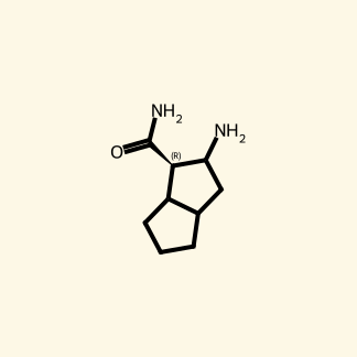 NC(=O)[C@H]1C(N)CC2CCCC21